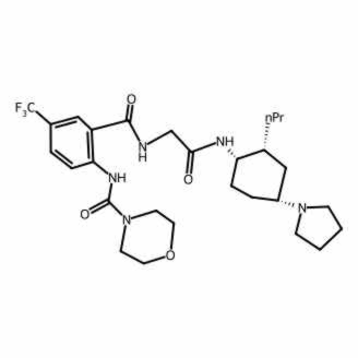 CCC[C@@H]1C[C@H](N2CCCC2)CC[C@@H]1NC(=O)CNC(=O)c1cc(C(F)(F)F)ccc1NC(=O)N1CCOCC1